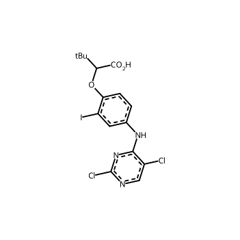 CC(C)(C)C(Oc1ccc(Nc2nc(Cl)ncc2Cl)cc1I)C(=O)O